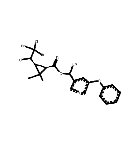 CC1(C)[C@H](C(=O)OC(C#N)c2cccc(Oc3ccccc3)c2)[C@@H]1C(Cl)C(Cl)(Br)Br